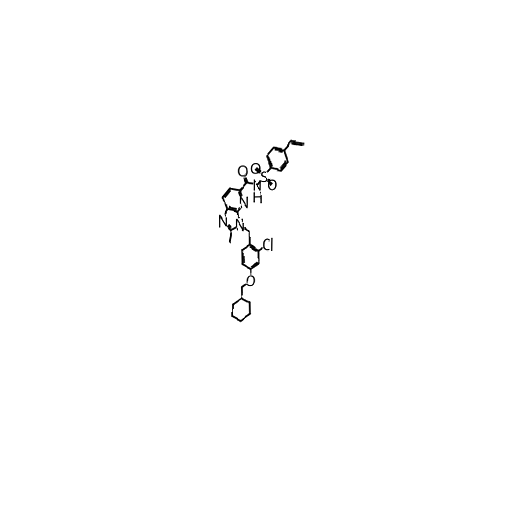 C=Cc1ccc(S(=O)(=O)NC(=O)c2ccc3nc(C)n(Cc4ccc(OCC5CCCCC5)cc4Cl)c3n2)cc1